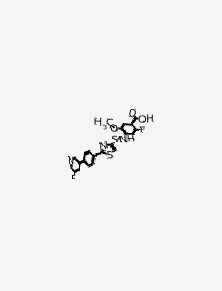 COc1cc(C(=O)O)c(F)cc1NSc1csc(-c2ccc(-c3cncc(F)c3)cc2)n1